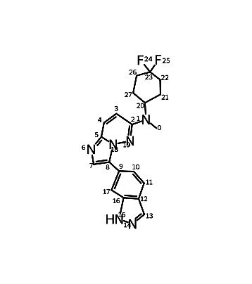 CN(c1ccc2ncc(-c3ccc4cn[nH]c4c3)n2n1)C1CCC(F)(F)CC1